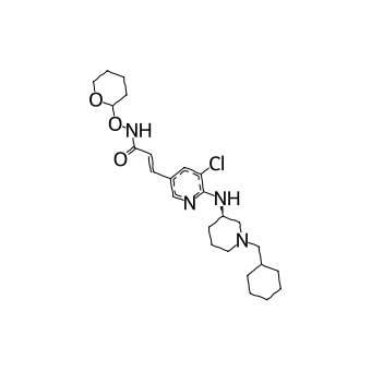 O=C(/C=C/c1cnc(N[C@@H]2CCCN(CC3CCCCC3)C2)c(Cl)c1)NOC1CCCCO1